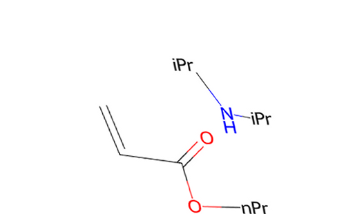 C=CC(=O)OCCC.CC(C)NC(C)C